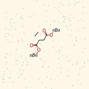 CC.CCCCOC(=O)CCC(=O)OCCCC